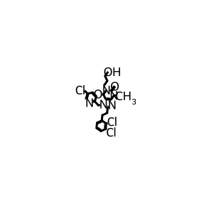 Cn1c(=O)n(CCCO)c(=O)c2c1nc(CCc1cccc(Cl)c1Cl)n2Cc1ccc(Cl)cn1